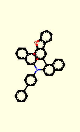 c1ccc(-c2ccc(N(c3ccc4ccccc4c3)c3ccc4ccccc4c3-c3ccc4oc5ccccc5c4c3)cc2)cc1